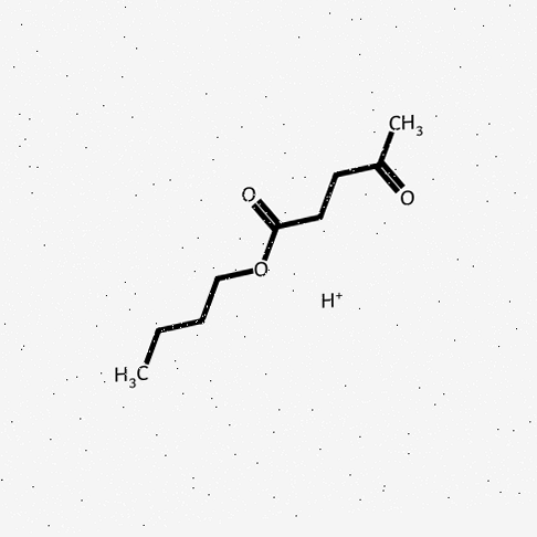 CCCCOC(=O)CCC(C)=O.[H+]